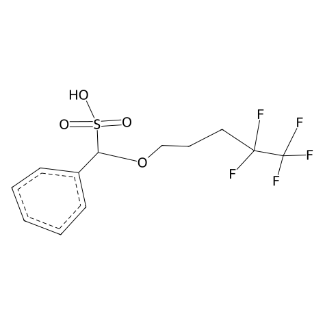 O=S(=O)(O)C(OCCCC(F)(F)C(F)(F)F)c1ccccc1